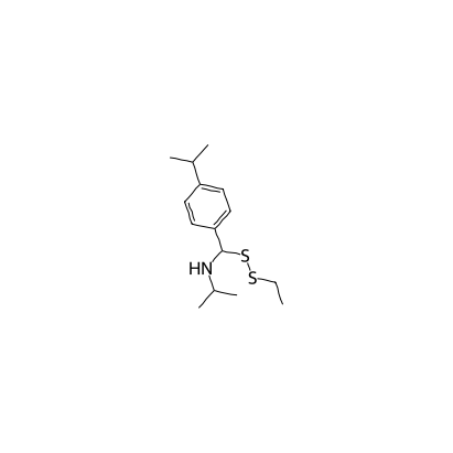 CCSSC(NC(C)C)c1ccc(C(C)C)cc1